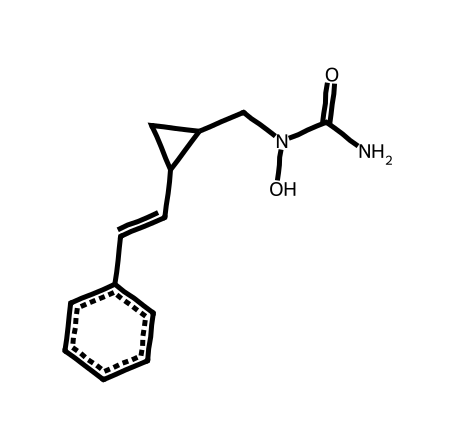 NC(=O)N(O)CC1CC1/C=C/c1ccccc1